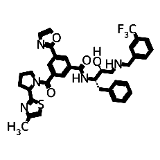 Cc1csc(C2CCCN2C(=O)c2cc(C(=O)N[C@@H](Cc3ccccc3)[C@H](O)CNCc3cccc(C(F)(F)F)c3)cc(-c3ncco3)c2)n1